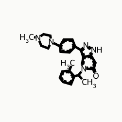 Cc1ccccc1C(C)n1cc2c(-c3ccc(N4CCN(C)CC4)cc3)n[nH]c2cc1=O